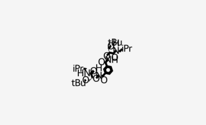 CC(C)CNC(=O)[C@@H](COC(C)(C)C)ONC(=O)c1cccc(C(=O)NO[C@H](COC(C)(C)C)C(=O)NCC(C)C)c1